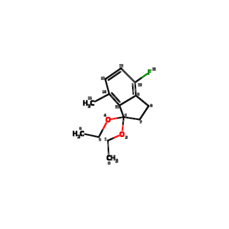 CCOC1(OCC)CCc2c(F)ccc(C)c21